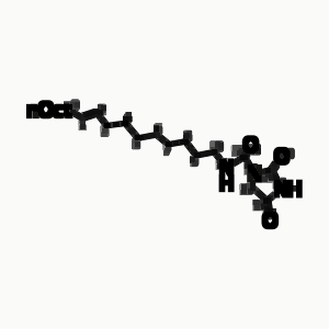 CCCCCCCCC=CCCCCCCCCNC(=O)N1CC(=O)NC1=O